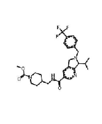 COC(=O)N1CCC(CNC(=O)c2cnc3c(c2)CN(Cc2ccc(C(F)(F)F)cc2)[C@H]3C(C)C)CC1